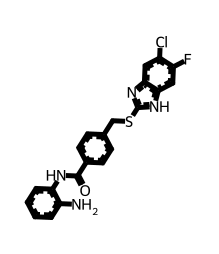 Nc1ccccc1NC(=O)c1ccc(CSc2nc3cc(Cl)c(F)cc3[nH]2)cc1